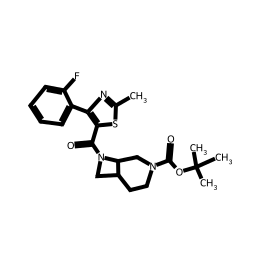 Cc1nc(-c2ccccc2F)c(C(=O)N2CC3CCN(C(=O)OC(C)(C)C)CC32)s1